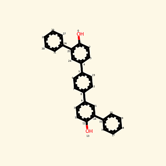 Oc1ccc(-c2ccc(-c3ccc(O)c(-c4ccccc4)c3)cc2)cc1-c1ccccc1